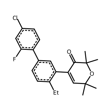 CCc1ccc(-c2ccc(Cl)cc2F)cc1C1=CC(C)(C)OC(C)(C)C1=O